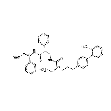 COC[C@@H](NC(=O)C(CNC(=O)[C@H](CCCc1ccc(-c2ccccc2C)cc1)CC(=O)O)c1ccccc1)c1ccccc1